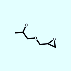 CC([O])COCC1CO1